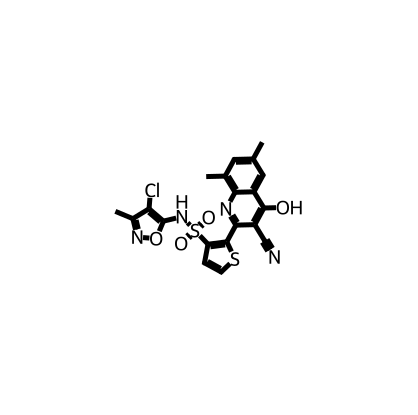 Cc1cc(C)c2nc(-c3sccc3S(=O)(=O)Nc3onc(C)c3Cl)c(C#N)c(O)c2c1